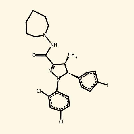 C[C@@H]1C(C(=O)NN2CCCCCC2)=NN(c2ccc(Cl)cc2Cl)[C@@H]1c1ccc(I)cc1